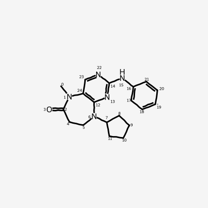 CN1C(=O)CCN(C2CCCC2)c2nc(Nc3cc[c]cc3)ncc21